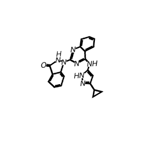 O=c1[nH]n(-c2nc(Nc3cc(C4CC4)n[nH]3)c3ccccc3n2)c2ccccc12